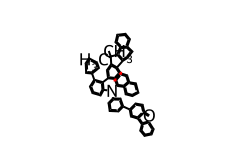 CC1(C)c2cc(-c3c(-c4ccccc4)cccc3N(c3cccc(-c4ccc5oc6ccccc6c5c4)c3)c3cccc4ccccc34)ccc2-c2ccc3ccccc3c21